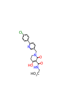 O=C(O)CNC(=O)C1=C(O)CCN(Cc2ccc(-c3ccc(Cl)cc3)nc2)C1=O